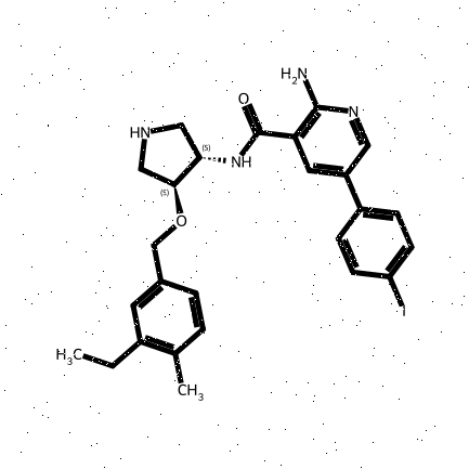 CCc1cc(CO[C@H]2CNC[C@@H]2NC(=O)c2cc(-c3ccc(I)cc3)cnc2N)ccc1C